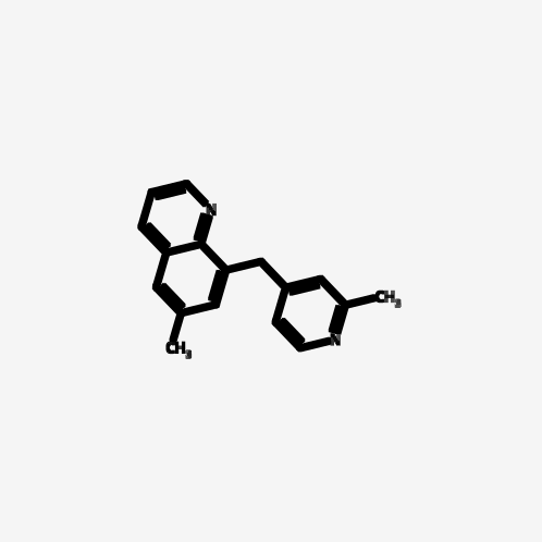 Cc1cc(Cc2ccnc(C)c2)c2ncccc2c1